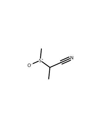 CC(C#N)[S+](C)[O-]